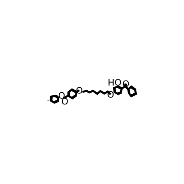 O=C(Oc1cc[c]cc1)c1ccc(OCCCCCCCCOc2ccc(C(=O)c3ccccc3)c(O)c2)cc1